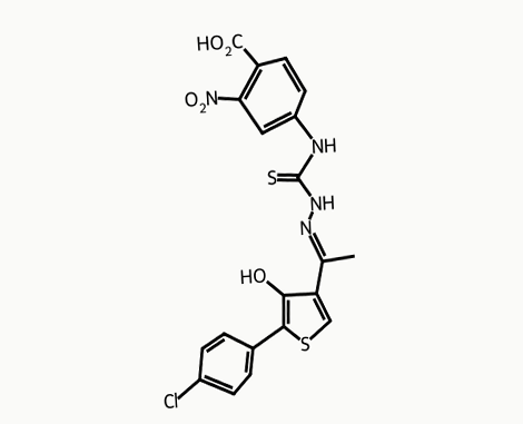 C/C(=N\NC(=S)Nc1ccc(C(=O)O)c([N+](=O)[O-])c1)c1csc(-c2ccc(Cl)cc2)c1O